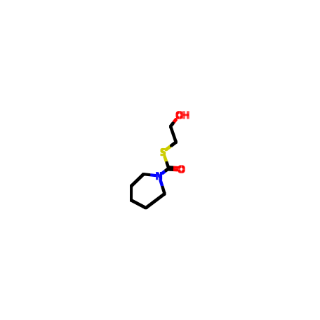 O=C(SCCO)N1CCCCC1